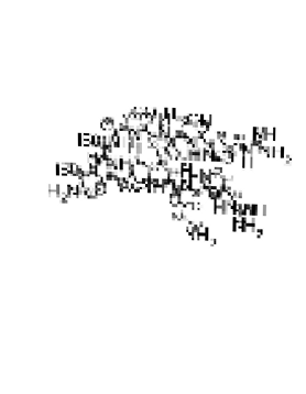 CC[C@H](C)[C@H](NC(=O)[C@H](Cc1ccccc1)NC(=O)[C@@H](NC(=O)[C@H](CC(=O)O)NC(=O)[C@H](C)NC(=O)[C@H](CO)NC(=O)[C@H](CCCNC(=N)N)NC(=O)[C@H](CCCNC(=N)N)NC(=O)[C@H](CCCCN)NC(=O)[C@H](CCC(=O)O)NC(C)=O)[C@@H](C)CC)C(N)=O